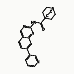 O=C(Nc1ncc2ccc(-c3cccnc3)cc2n1)C12CCN(CC1)CC2